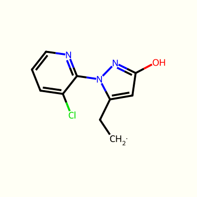 [CH2]Cc1cc(O)nn1-c1ncccc1Cl